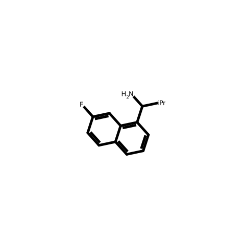 CC(C)C(N)c1cccc2ccc(F)cc12